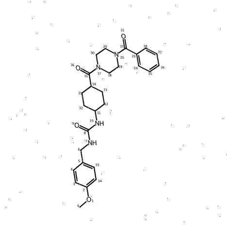 COc1ccc(CNC(=O)NC2CCC(C(=O)N3CCN(C(=O)c4ccccc4)CC3)CC2)cc1